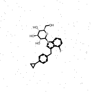 OC[C@H]1OC(n2cc(Cc3ccc(C4CC4)cc3)c3c(F)cccc32)[C@H](O)[C@@H](O)[C@@H]1O